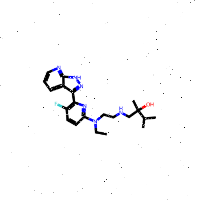 CCN(CCNCC(C)(O)C(C)C)c1ccc(F)c(-c2n[nH]c3ncccc23)n1